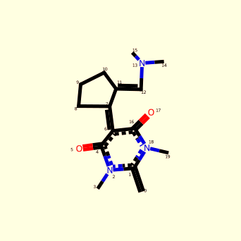 C=c1n(C)c(=O)c(=C2CCC/C2=C\N(C)C)c(=O)n1C